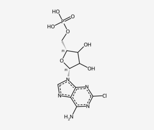 Nc1nc(Cl)nc2c1ncn2[C@@H]1O[C@H](COP(=O)(O)O)C(O)C1O